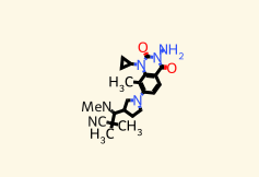 CNC(C1CCN(c2ccc3c(=O)n(N)c(=O)n(C4CC4)c3c2C)C1)C(C)(C)C#N